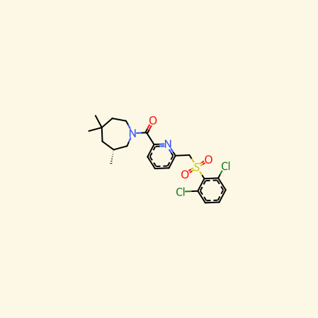 C[C@H]1CN(C(=O)c2cccc(CS(=O)(=O)c3c(Cl)cccc3Cl)n2)CCC(C)(C)C1